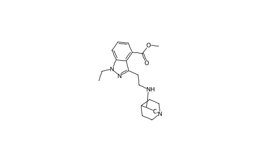 CCn1nc(CCNC2CN3CCC2CC3)c2c(C(=O)OC)cccc21